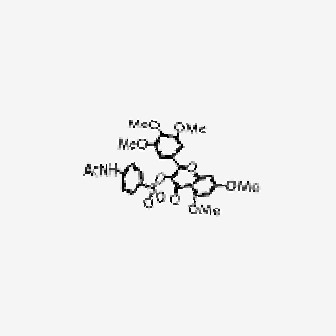 COc1cc(OC)c2c(=O)c(OS(=O)(=O)c3ccc(NC(C)=O)cc3)c(-c3cc(OC)c(OC)c(OC)c3)oc2c1